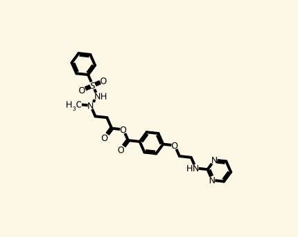 CN(CCC(=O)OC(=O)c1ccc(OCCNc2ncccn2)cc1)NS(=O)(=O)c1ccccc1